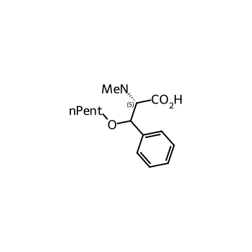 CCCCCOC(c1ccccc1)[C@H](NC)C(=O)O